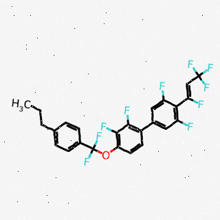 CCCc1ccc(C(F)(F)Oc2ccc(-c3cc(F)c(/C(F)=C/C(F)(F)F)c(F)c3)c(F)c2F)cc1